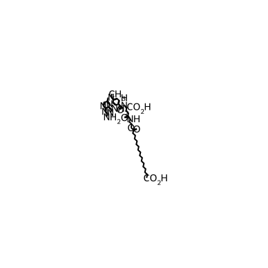 CN(Cc1cnc2nc(N)nc(N)c2n1)c1ccc(C(=O)N[C@@H](CCC(=O)NCCOC(=O)CCCCCCCCCCCCCCCCC(=O)O)C(=O)O)cc1